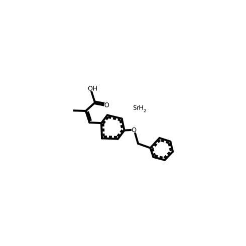 CC(=Cc1ccc(OCc2ccccc2)cc1)C(=O)O.[SrH2]